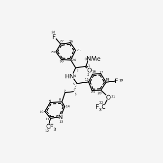 CNC(=O)C(N[C@@H](CCc1ccc(C(F)(F)F)nc1)c1ccc(F)c(OC(F)(F)F)c1)c1ccc(F)cc1